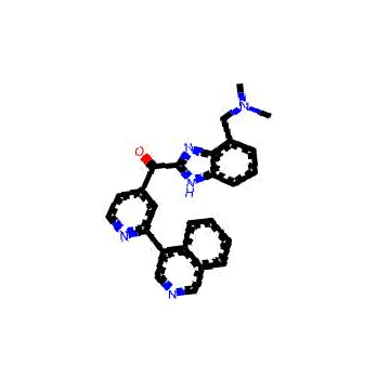 CN(C)Cc1cccc2[nH]c(C(=O)c3ccnc(-c4cncc5ccccc45)c3)nc12